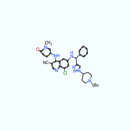 Cn1cc(Nc2c(C#N)cnc3c(Cl)cc(NC(c4ccccc4)c4cn(C5CCN(C(C)(C)C)CC5)nn4)cc23)ccc1=O